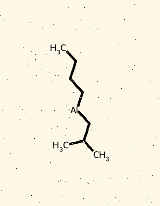 CCC[CH2][Al][CH2]C(C)C